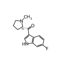 CN1CCC[C@H]1C(=O)c1c[nH]c2cc(F)ccc12